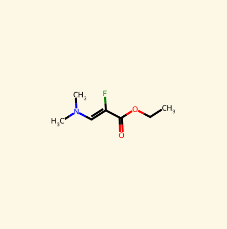 CCOC(=O)C(F)=CN(C)C